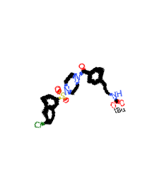 CC(C)(C)OC(=O)NCCc1ccc(C(=O)N2CCN(S(=O)(=O)c3ccc4cc(Cl)ccc4c3)CC2)cc1